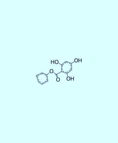 O=C(Oc1ccccc1)c1c(O)cc(O)cc1O